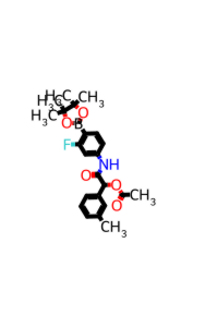 CC(=O)OC(C(=O)Nc1ccc(B2OC(C)(C)C(C)(C)O2)c(F)c1)c1cccc(C)c1